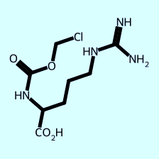 N=C(N)NCCCC(NC(=O)OCCl)C(=O)O